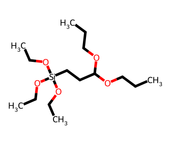 CCCOC(CC[Si](OCC)(OCC)OCC)OCCC